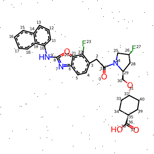 O=C(Cc1ccc2nc(Nc3cccc4ccccc34)oc2c1F)N1C[C@@H](F)C[C@H]1CO[C@H]1CC[C@H](C(=O)O)CC1